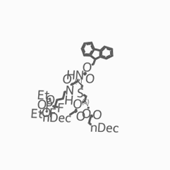 CCCCCCCCCCCC(=O)OC[C@@H](CSC[C@H](NC(=O)OCC1c2ccccc2-c2ccccc21)C(=O)NCCCC(F)(F)P(=O)(OCC)OCC)OC(=O)CCCCCCCCCCC